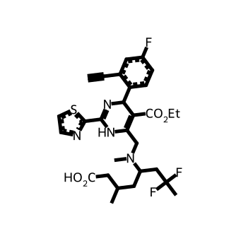 C#Cc1cc(F)ccc1C1N=C(c2nccs2)NC(CN(C)C(CC(C)CC(=O)O)CC(C)(F)F)=C1C(=O)OCC